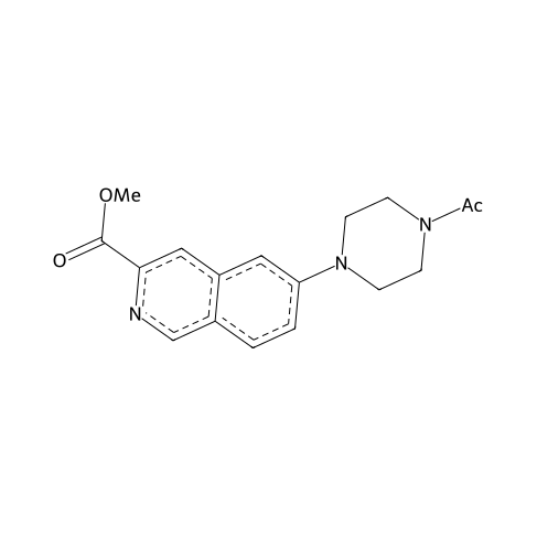 COC(=O)c1cc2cc(N3CCN(C(C)=O)CC3)ccc2cn1